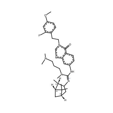 COc1ccc(CCn2cnc3cc(N/C(=N/C4C[C@@H]5C[C@H]([C@@H]4C)C5(C)C)N(C)CCCN(C)C)ccc3c2=O)c(F)c1